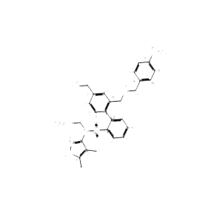 COCN(c1noc(C)c1C)S(=O)(=O)c1ccccc1-c1ccc(CO)cc1COCc1ccc(OC)cc1